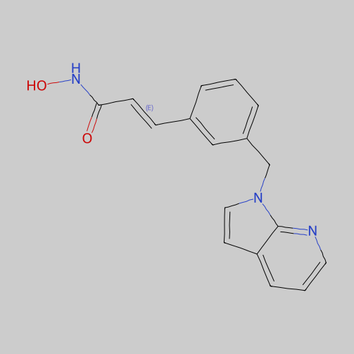 O=C(/C=C/c1cccc(Cn2ccc3cccnc32)c1)NO